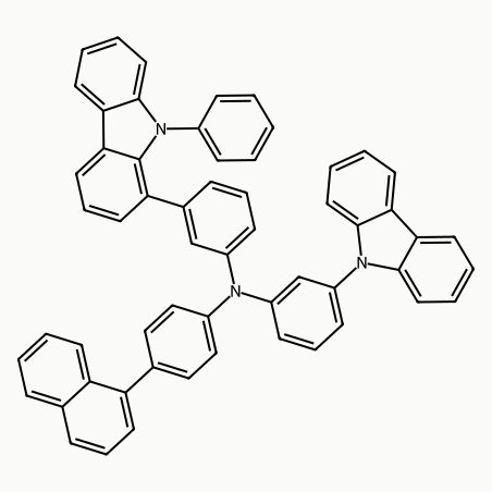 c1ccc(-n2c3ccccc3c3cccc(-c4cccc(N(c5ccc(-c6cccc7ccccc67)cc5)c5cccc(-n6c7ccccc7c7ccccc76)c5)c4)c32)cc1